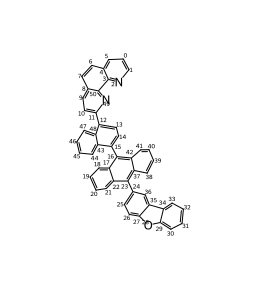 c1cnc2c(c1)ccc1ccc(-c3ccc(-c4c5ccccc5c(-c5ccc6oc7ccccc7c6c5)c5ccccc45)c4ccccc34)nc12